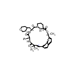 CC(C)C1NC(=O)C(C)(C)/C=C/c2ccc3ccc(nc3c2)[C@@H](C)OC(=O)[C@@H]2CCCN(N2)C(=O)[C@H](CC2CCOCC2)NC1=O